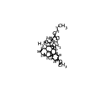 CCCOC(=O)NNC(=O)[C@@]1(C)[C@H](C)C2C=CCN3CCC4(c5ccc(OC)cc5C[C@H]41)C23